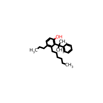 CCCCCCc1c(CCC)ccc(O)c1C(C)(C)c1ccccc1